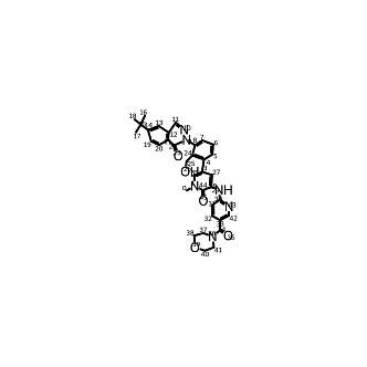 Cn1cc(-c2cccc(-n3ncc4cc(C(C)(C)C)ccc4c3=O)c2CO)cc(Nc2ccc(C(=O)N3CCOCC3)cn2)c1=O